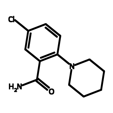 NC(=O)c1cc(Cl)ccc1N1CCCCC1